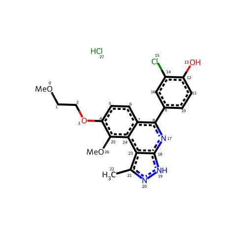 COCCOc1ccc2c(-c3ccc(O)c(Cl)c3)nc3[nH]nc(C)c3c2c1OC.Cl